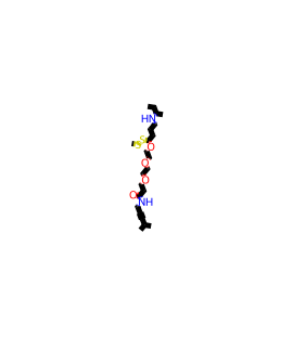 CCC(C)NCCCC(OCCOCCOCCC(=O)NCC#CC(C)C)SSC